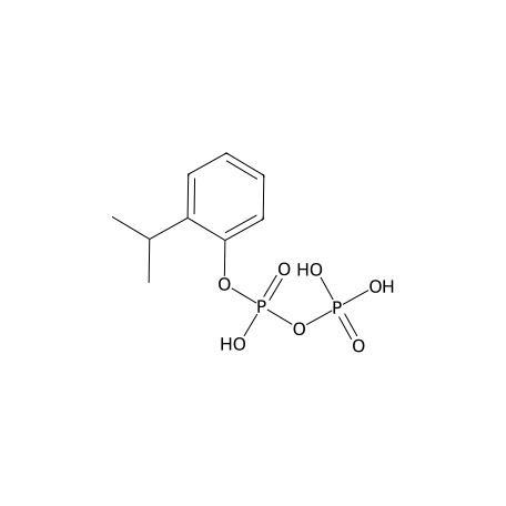 CC(C)c1ccccc1OP(=O)(O)OP(=O)(O)O